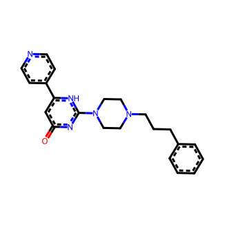 O=c1cc(-c2ccncc2)[nH]c(N2CCN(CCCc3ccccc3)CC2)n1